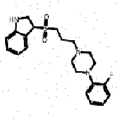 O=S(=O)(CCCN1CCN(c2ccccc2F)CC1)C1CNc2ccccc21